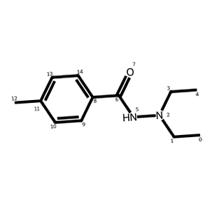 CCN(CC)NC(=O)c1ccc(C)cc1